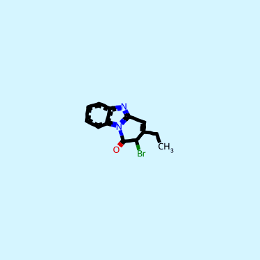 CCC1=Cc2nc3ccccc3n2C(=O)C1Br